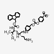 CC(C)[C@@H](CN[C@@H](CCCN)CNc1ccc(COC(=O)Oc2ccc([N+](=O)[O-])cc2)cc1)NC(=O)OCC1c2ccccc2-c2ccccc21